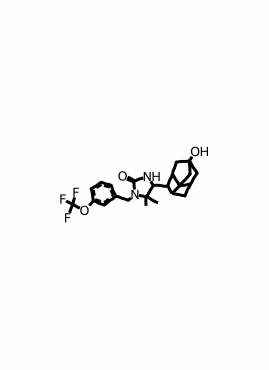 CC1(C)C(C2C3CC4CC2CC(O)(C4)C3)NC(=O)N1Cc1cccc(OC(F)(F)F)c1